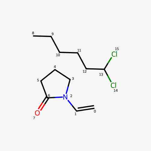 C=CN1CCCC1=O.CCCCCC(Cl)Cl